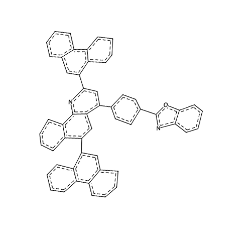 c1ccc2c(c1)cc(-c1cc(-c3ccc(-c4nc5ccccc5o4)cc3)c3cc(-c4cc5ccccc5c5ccccc45)c4ccccc4c3n1)c1ccccc12